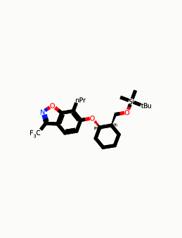 CCCc1c(O[C@@H]2CCCC[C@@H]2CO[Si](C)(C)C(C)(C)C)ccc2c(C(F)(F)F)noc12